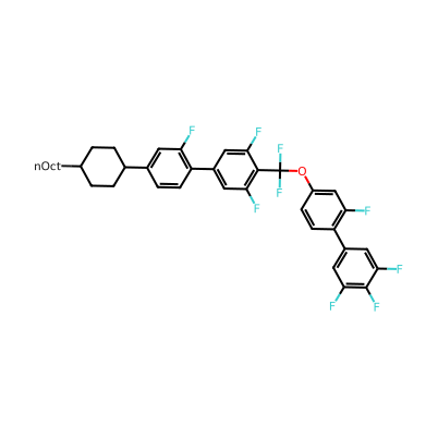 CCCCCCCCC1CCC(c2ccc(-c3cc(F)c(C(F)(F)Oc4ccc(-c5cc(F)c(F)c(F)c5)c(F)c4)c(F)c3)c(F)c2)CC1